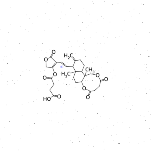 C=C1CCC2C3(C)COC(=O)CCC(=O)OC3CCC2(C)C1/C=C/C1=C(OC(=O)CCC(=O)O)COC1=O